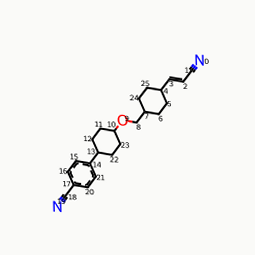 N#CC=CC1CCC(COC2CCC(c3ccc(C#N)cc3)CC2)CC1